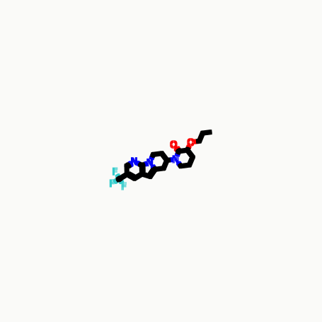 CCCOC1CCCN(C2CCn3c(cc4cc(C(F)(F)F)cnc43)C2)C1=O